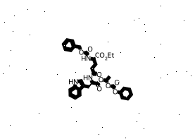 CCOC(=O)[C@@H](CCC(=O)N[C@H](Cc1c[nH]c2ccccc12)C(=O)OC(C)OC(=O)OC1CCCCC1)NC(=O)OCc1ccccc1